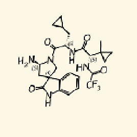 CC1([C@H](NC(=O)C(F)(F)F)C(=O)N[C@@H](CC2CC2)C(=O)N2C[C@]3(C[C@H]2N)C(=O)Nc2ccccc23)CC1